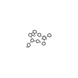 c1ccc(-c2nc(-c3ccccc3)nc(-c3ccc(-c4cccc5c4oc4c(-c6cc(-c7ccncc7)cc(-c7ccncc7)c6)cccc45)cc3)n2)cc1